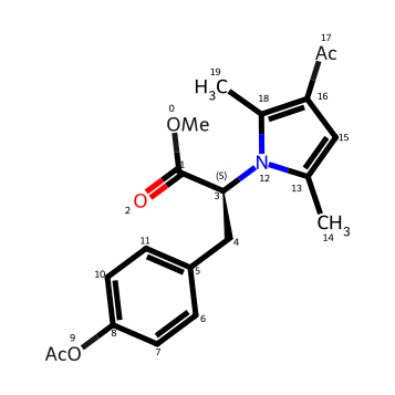 COC(=O)[C@H](Cc1ccc(OC(C)=O)cc1)n1c(C)cc(C(C)=O)c1C